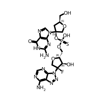 Nc1nc2c(ncn2[C@@]2(OP(O)(=S)OC[C@H]3OC[C@@](F)(n4nnc5c(N)ncnc54)[C@@H]3O)CO[C@H](CO)C2)c(=O)[nH]1